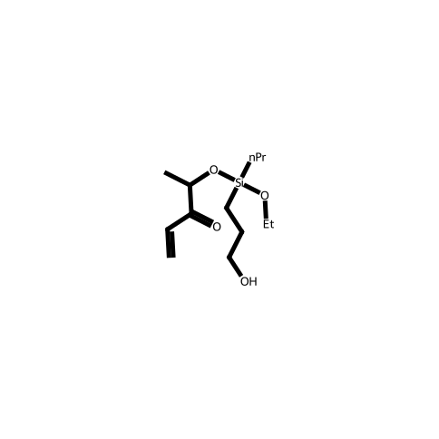 C=CC(=O)C(C)O[Si](CCC)(CCCO)OCC